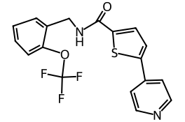 O=C(NCc1ccccc1OC(F)(F)F)c1ccc(-c2ccncc2)s1